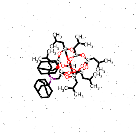 CC(C)C[Si]12O[SiH]3O[Si]4(CC(C)C)O[Si](CC(C)C)(O1)O[Si]1(CC(C)C)O[Si](CC(C)C)(O2)O[Si](CC(C)C)(O3)O[Si](CP(C23CC5CC(CC(C5)C2)C3)C23CC5CC(CC(C5)C2)C3)(O4)O1